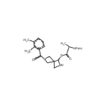 CCCCCC(C)C(=O)OC1NCC12CN(C(=O)c1cccc(C)c1C)C2